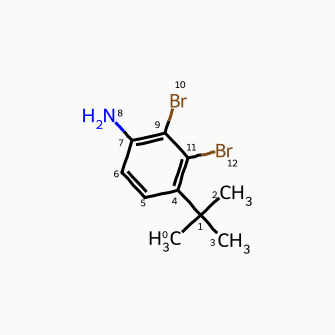 CC(C)(C)c1ccc(N)c(Br)c1Br